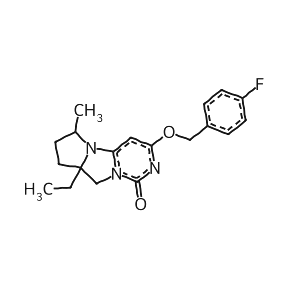 CCC12CCC(C)N1c1cc(OCc3ccc(F)cc3)nc(=O)n1C2